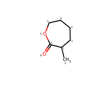 C[C]1CCCCOC1=O